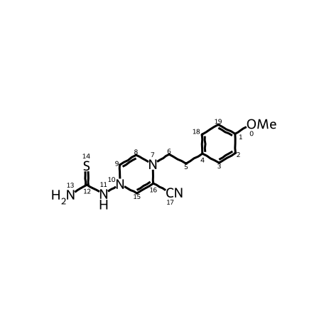 COc1ccc(CCN2C=CN(NC(N)=S)C=C2C#N)cc1